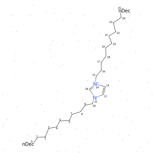 CCCCCCCCCCCCCCCCCCCCn1cc[n+](CCCCCCCCCCCCCCCCCCCC)c1